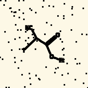 CCOC(=O)C(I)C#N